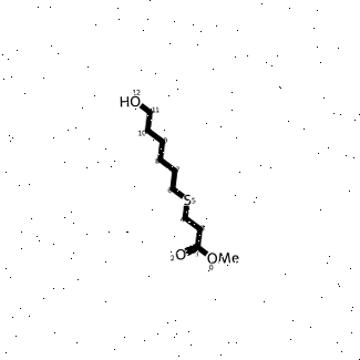 COC(=O)CCSCCCCCCO